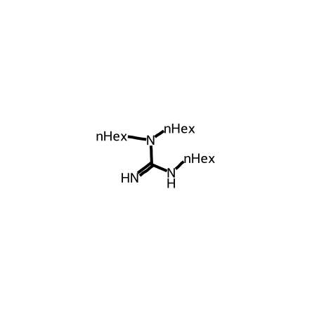 CCCCCCNC(=N)N(CCCCCC)CCCCCC